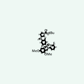 COc1ccc(CN(c2cccc(F)n2)S(=O)(=O)c2cc(C)c(N(C)[C@H]3CCN(C(=O)OC(C)(C)C)C3)cc2F)c(OC)c1